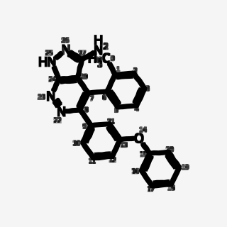 Cc1ccccc1-c1c(-c2cccc(Oc3ccccc3)c2)nnc2[nH]nc(N)c12